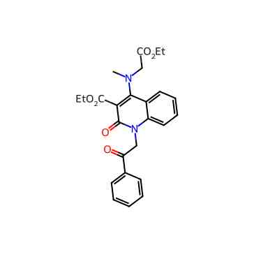 CCOC(=O)CN(C)c1c(C(=O)OCC)c(=O)n(CC(=O)c2ccccc2)c2ccccc12